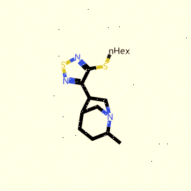 CCCCCCSc1nsnc1C1CN2CC1CCC2C